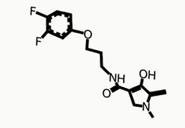 C=C1C(O)=C(C(=O)NCCCOc2ccc(F)c(F)c2)CN1C